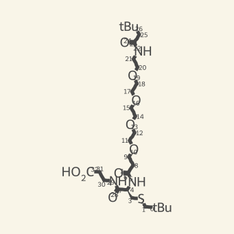 CC(C)(C)CSC[C@H](NC(=O)CCOCCOCCOCCOCCNC(=O)CC(C)(C)C)C(=O)NCCC(=O)O